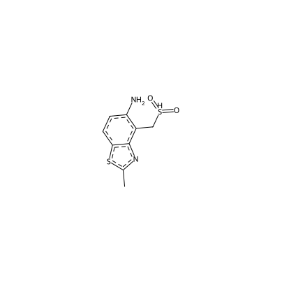 Cc1nc2c(C[SH](=O)=O)c(N)ccc2s1